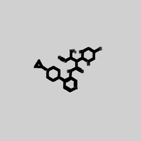 NC(N=O)C(C(=O)Nc1cnccc1N1CCN(C2CC2)CC1)C1NCC(Cl)CN1